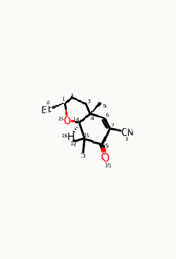 CC[C@H]1CC[C@]2(C)C=C(C#N)C(=O)C(C)(C)[C@H]2O1